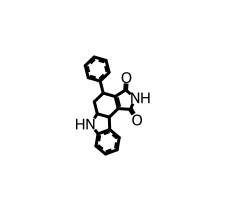 O=C1NC(=O)C2=C1C(c1ccccc1)CC1Nc3ccccc3C21